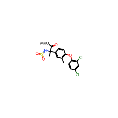 COC(=O)C(C)(N=S(=O)=O)c1ccc(Oc2ccc(Cl)cc2Cl)c(C)c1